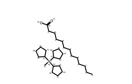 CCCCCCCCCCCCC(=O)[O-].C[N+](C1CCCC1)(C1CCCC1)C1CCCC1